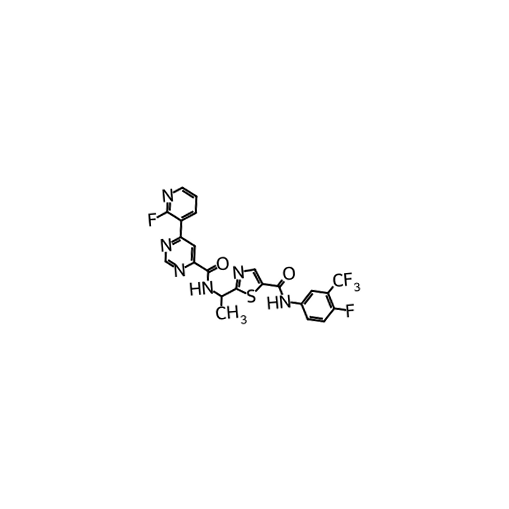 CC(NC(=O)c1cc(-c2cccnc2F)ncn1)c1ncc(C(=O)Nc2ccc(F)c(C(F)(F)F)c2)s1